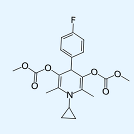 COC(=O)OC1=C(C)N(C2CC2)C(C)=C(OC(=O)OC)C1c1ccc(F)cc1